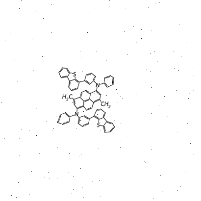 Cc1cc(N(c2ccccc2)c2cccc(-c3cccc4c3sc3ccccc34)c2)c2ccc3c(C)cc(N(c4ccccc4)c4cccc(-c5cccc6c5sc5ccccc56)c4)c4ccc1c2c34